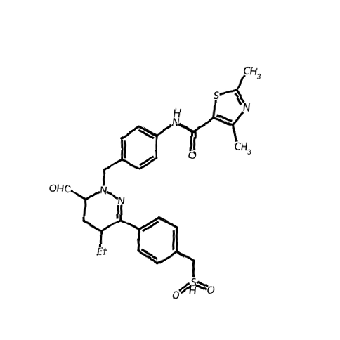 CCC1CC(C=O)N(Cc2ccc(NC(=O)c3sc(C)nc3C)cc2)N=C1c1ccc(C[SH](=O)=O)cc1